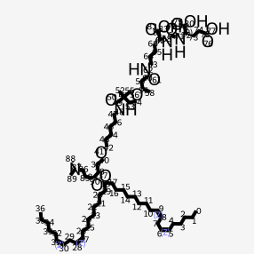 CCCCC/C=C\C/C=C\CCCCCCCCC1(CCCCCCCC/C=C\C/C=C\CCCCC)OC(CCOCCCCCCNC(=O)C(C)(CC)COC(C)CC(=O)NCCCC[C@@H](NC(=O)N[C@H](CCC(=O)O)C(=O)O)C(=O)O)C(CCN(C)C)O1